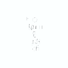 Cn1c(-c2ccccc2CF)nnc1C12CCC(c3noc(C(C)(F)F)n3)(CC1)CC2